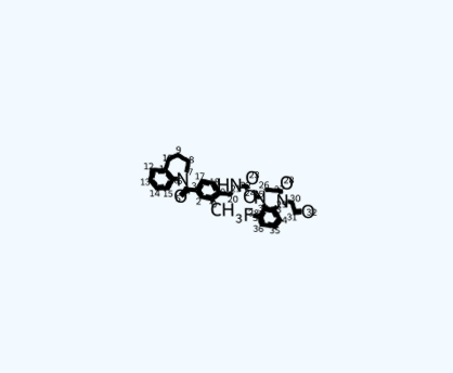 Cc1cc(C(=O)N2CCCCc3ccccc32)ccc1CNC(=O)ON1CC(=O)N(CC=O)c2cccc(F)c21